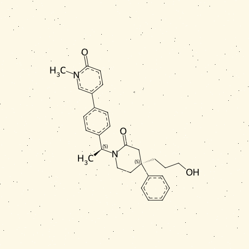 C[C@@H](c1ccc(-c2ccc(=O)n(C)c2)cc1)N1CC[C@](CCCO)(c2ccccc2)CC1=O